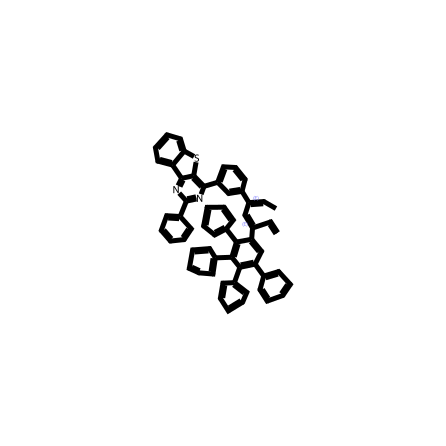 C=C/C(=C\C(=C/C)c1cccc(-c2nc(-c3ccccc3)nc3c2sc2ccccc23)c1)c1cc(-c2ccccc2)c(-c2ccccc2)c(-c2ccccc2)c1-c1ccccc1